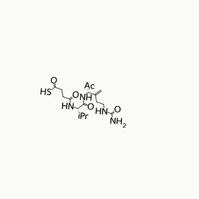 C=C(CCNC(N)=O)[C@H](NC(=O)[C@@H](NC(=O)CCC(=O)S)C(C)C)C(C)=O